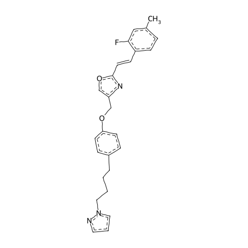 Cc1ccc(/C=C/c2nc(COc3ccc(CCCCn4cccn4)cc3)co2)c(F)c1